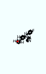 Fc1ccc(-c2nc3ccc(N4C[C@H]5CC[C@@H]4CN5)cc3n2-c2ccncn2)cc1